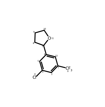 FC(F)(F)c1cc(Cl)cc([C]2CCCO2)c1